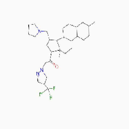 CC1CCC2C(CCC3C2CCC2(C)C(C(=O)CN4CC(C(F)(F)F)C=N4)CC(CN4CCCC4)C32)C1